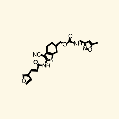 Cc1cc(CNC(=O)OCC2CCc3c(sc(NC(=O)C=Cc4ccoc4)c3C#N)C2)no1